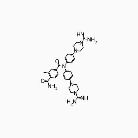 Cc1cc(C(=O)N(c2ccc(N3CCN(C(=N)N)CC3)cc2)c2ccc(N3CCN(C(=N)N)CC3)cc2)ccc1C(N)=O